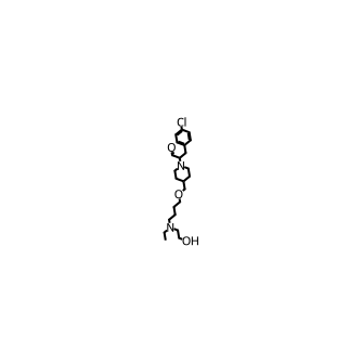 CCN(CCO)CCCCOCC1CCN(C(C=O)Cc2ccc(Cl)cc2)CC1